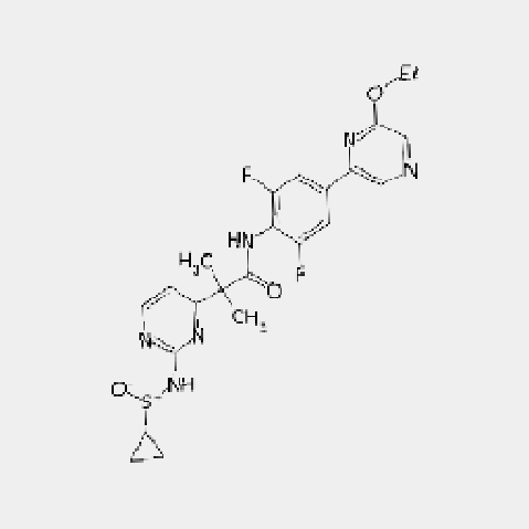 CCOc1cncc(-c2cc(F)c(NC(=O)C(C)(C)c3ccnc(N[S+]([O-])C4CC4)n3)c(F)c2)n1